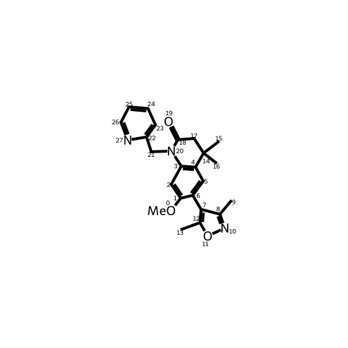 COc1cc2c(cc1-c1c(C)noc1C)C(C)(C)CC(=O)N2Cc1ccccn1